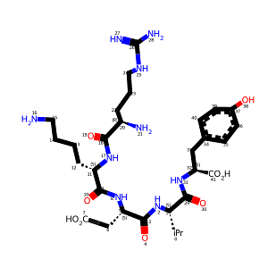 CC(C)[C@H](NC(=O)[C@H](CC(=O)O)NC(=O)[C@H](CCCCN)NC(=O)[C@H](N)CCCNC(=N)N)C(=O)N[C@@H](Cc1ccc(O)cc1)C(=O)O